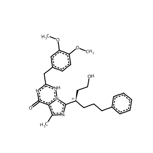 COc1ccc(Cc2nc(=O)c3c(C)nc([C@@H](CCO)CCCc4ccccc4)n3[nH]2)cc1OC